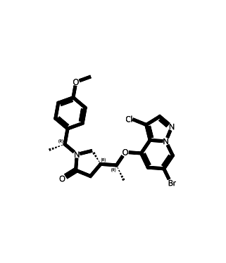 COc1ccc([C@@H](C)N2C[C@H]([C@@H](C)Oc3cc(Br)cn4ncc(Cl)c34)CC2=O)cc1